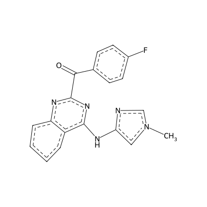 Cn1cnc(Nc2nc(C(=O)c3ccc(F)cc3)nc3ccccc23)c1